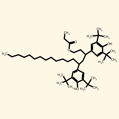 CCCCCCCCCCCCCC(CC(CCOC(=O)CC)c1cc(C(C)(C)C)c(O)c(C(C)(C)C)c1)c1cc(C(C)(C)C)c(O)c(C(C)(C)C)c1